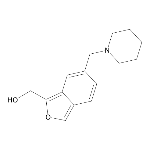 OCc1occ2ccc(CN3CCCCC3)cc12